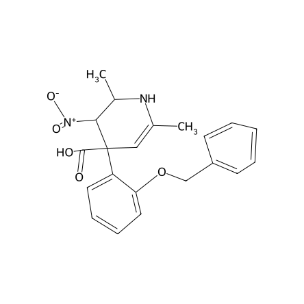 CC1=CC(C(=O)O)(c2ccccc2OCc2ccccc2)C([N+](=O)[O-])C(C)N1